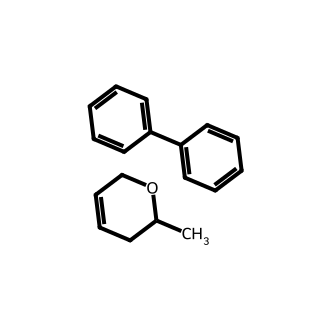 CC1CC=CCO1.c1ccc(-c2ccccc2)cc1